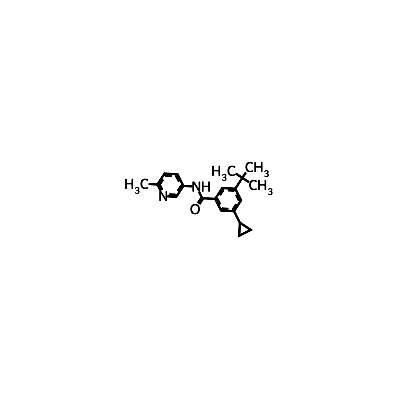 Cc1ccc(NC(=O)c2cc(C3CC3)cc(C(C)(C)C)c2)cn1